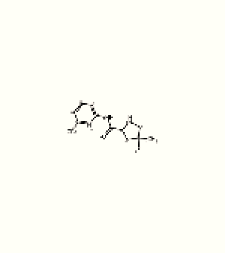 CC1(F)CNC(C(=O)Nc2cccc(Cl)n2)C1